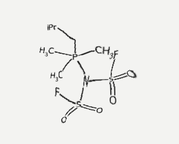 CC(C)CP(C)(C)(C)N(S(=O)(=O)F)S(=O)(=O)F